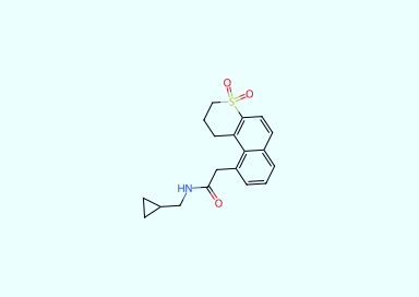 O=C(Cc1cccc2ccc3c(c12)CCCS3(=O)=O)NCC1CC1